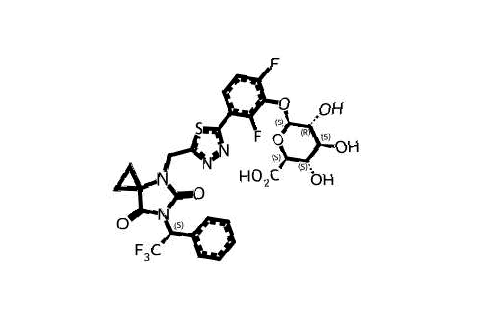 O=C(O)[C@H]1O[C@@H](Oc2c(F)ccc(-c3nnc(CN4C(=O)N([C@@H](c5ccccc5)C(F)(F)F)C(=O)C45CC5)s3)c2F)[C@H](O)[C@@H](O)[C@@H]1O